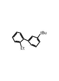 CCc1ccccc1-c1[c]ccc(C(C)(C)C)c1